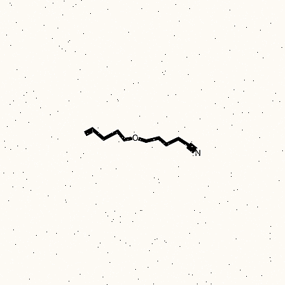 C=CCCCOCCCCC#N